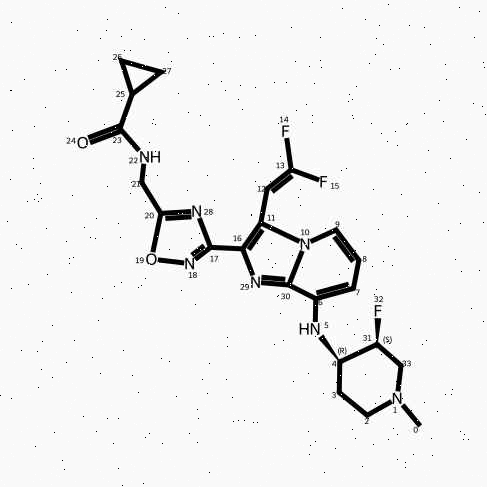 CN1CC[C@@H](Nc2cccn3c(C=C(F)F)c(-c4noc(CNC(=O)C5CC5)n4)nc23)[C@@H](F)C1